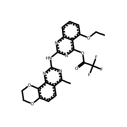 CCOc1cccc2nc(Nc3nc(C)c4ccc5c(c4n3)OCCO5)nc(OC(=O)C(F)(F)F)c12